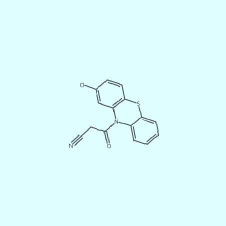 N#CCC(=O)N1c2ccccc2Sc2ccc(Cl)cc21